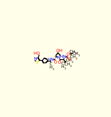 CC(NC(=O)[C@@H]1C[C@@H](O)CN1C(=O)C(NC(=O)OC(C)(C)C)C(C)(C)C)c1ccc(-c2scnc2CO)cc1